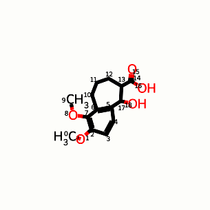 COc1ccc2c(c1OC)CCCC(C(=O)O)C2O